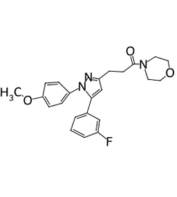 COc1ccc(-n2nc(CCC(=O)N3CCOCC3)cc2-c2cccc(F)c2)cc1